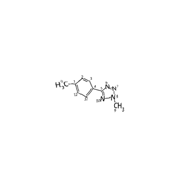 Cc1ccc(-c2nnn(C)n2)cc1